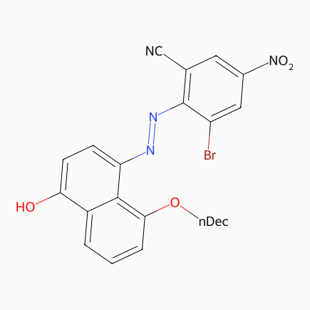 CCCCCCCCCCOc1cccc2c(O)ccc(N=Nc3c(Br)cc([N+](=O)[O-])cc3C#N)c12